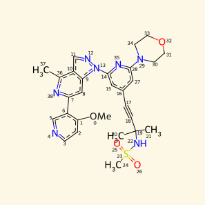 COc1ccncc1-c1cc2c(cnn2-c2cc(C#CC(C)(C)NS(C)(=O)=O)cc(N3CCOCC3)n2)c(C)n1